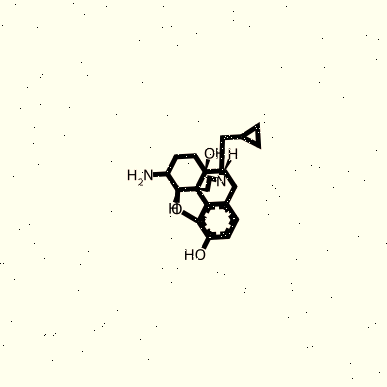 NC1CC[C@]2(O)[C@@H]3Cc4ccc(O)c5c4[C@]2(CCN3CC2CC2)[C@@H]1O5